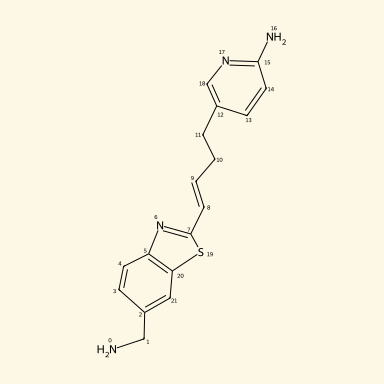 NCc1ccc2nc(/C=C/CCc3ccc(N)nc3)sc2c1